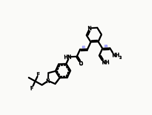 CC(F)(F)CN1Cc2ccc(NC(=O)/C=C/C3=C(C(/C=N)=C/N)CCN=C3)cc2C1